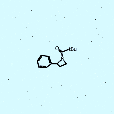 CC(C)(C)C(=O)N1CCC1c1ccccc1